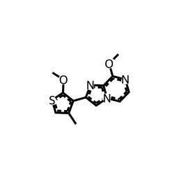 COc1scc(C)c1-c1cn2ccnc(OC)c2n1